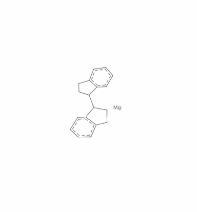 [Mg].c1ccc2c(c1)CCC2C1CCc2ccccc21